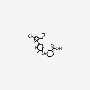 Cc1nc(-c2sc(Cl)cc2CCl)ccc1O[C@H]1CCC[C@H](C(=O)O)C1